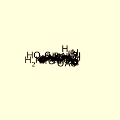 CC[C@H](C)[C@H](NC(=O)[C@H]1CCCCN1)C(=O)N[C@H](C[C@@H](OC(C)=O)c1nc(C(=O)N[C@@H](Cc2ccc(N)cc2)C(=O)O)cs1)C(C)C